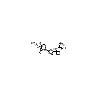 N=C(N)NC1(c2nnc([C@@H]3CC[C@@H]4CN3C(=O)N4OS(=O)(=O)O)s2)CCC1